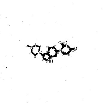 CN1CCN(c2c[nH]c3cc(-n4ccc(=O)[nH]c4=O)ccc23)CC1